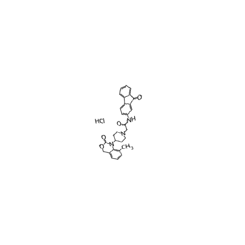 Cc1cccc2c1N(C1CCN(CC(=O)Nc3ccc4c(c3)C(=O)c3ccccc3-4)CC1)C(=O)OC2.Cl